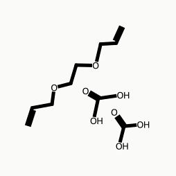 C=CCOCCOCC=C.O=C(O)O.O=C(O)O